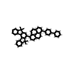 CC1(C)c2ccccc2-c2c1cc(-c1ccc3ccc4c(-c5ccc(-c6ccccc6)cc5)ccc5ccc1c3c54)c1c2-c2ccccc2C1(C)C